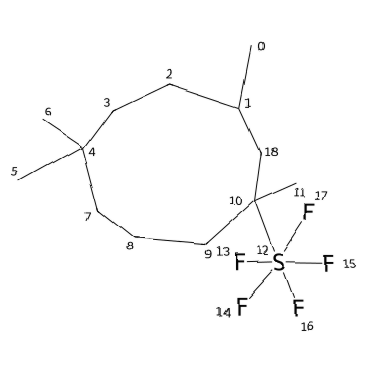 CC1CCC(C)(C)CCCC(C)(S(F)(F)(F)(F)F)C1